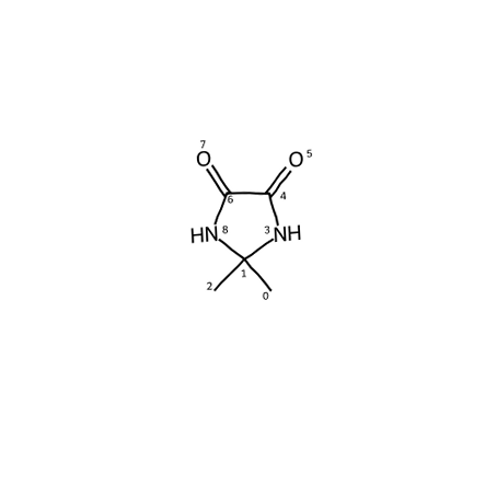 CC1(C)NC(=O)C(=O)N1